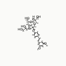 COc1cc(/C=C/c2ccc(OCC(COCC(O)CO)(COCC(O)CO)COCC(O)CO)cc2)cc(OC)c1